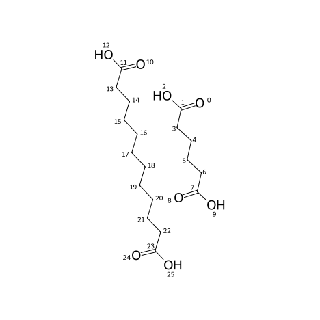 O=C(O)CCCCC(=O)O.O=C(O)CCCCCCCCCCC(=O)O